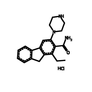 CCc1c2c(cc(N3CCNCC3)c1C(N)=O)-c1ccccc1C2.Cl